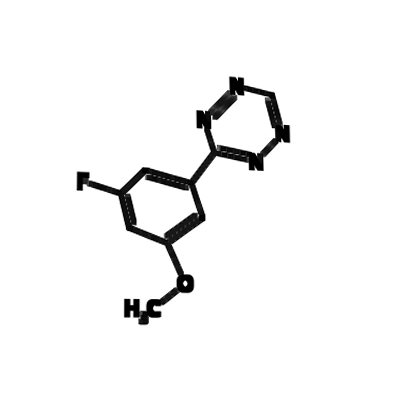 COc1cc(F)cc(-c2nncnn2)c1